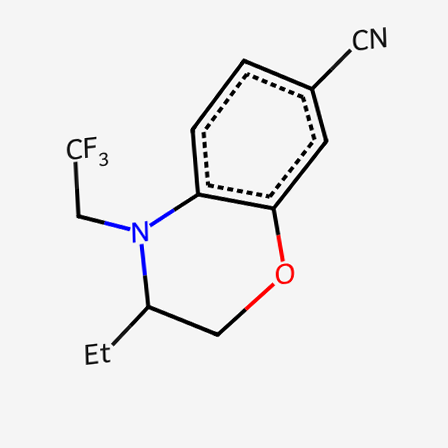 CCC1COc2cc(C#N)ccc2N1CC(F)(F)F